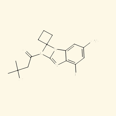 COc1cc(F)c2nc3n(c2c1)C1(CCC1)N3C(=O)CC(C)(C)C(F)(F)F